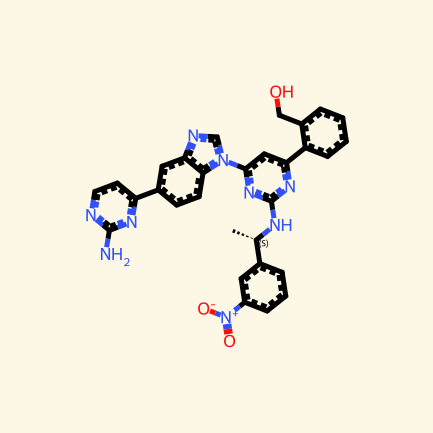 C[C@H](Nc1nc(-c2ccccc2CO)cc(-n2cnc3cc(-c4ccnc(N)n4)ccc32)n1)c1cccc([N+](=O)[O-])c1